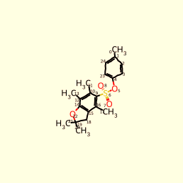 Cc1ccc(OS(=O)(=O)c2c(C)c(C)c3c(c2C)CC(C)(C)O3)cc1